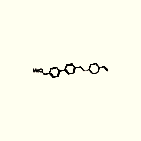 C=C[C@H]1CC[C@H](CCc2ccc(-c3ccc(COC)cc3)cc2)CC1